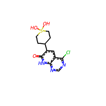 O=c1[nH]c2ncnc(Cl)c2cc1C1CCS(O)(O)CC1